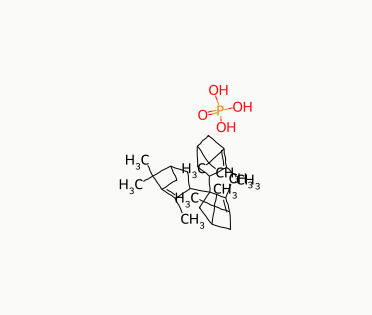 CC1=C2CC(CC1C1(C3CC4CC(=C3C)C4(C)C)CC3CC(=C1C)C3(C)C)C2(C)C.O=P(O)(O)O